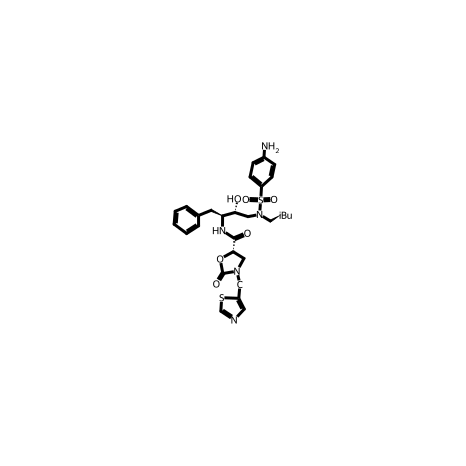 CC[C@H](C)CN(C[C@@H](O)[C@H](Cc1ccccc1)NC(=O)[C@@H]1CN(Cc2cncs2)C(=O)O1)S(=O)(=O)c1ccc(N)cc1